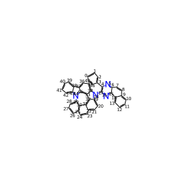 c1ccc(-c2nc3ccc4ccccc4c3nc2-n2c3ccc4ccc5cccc6c5c4c3c3c2ccc2c4ccccc4n6c23)cc1